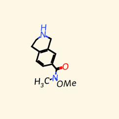 CON(C)C(=O)c1ccc2c(c1)CNCC2